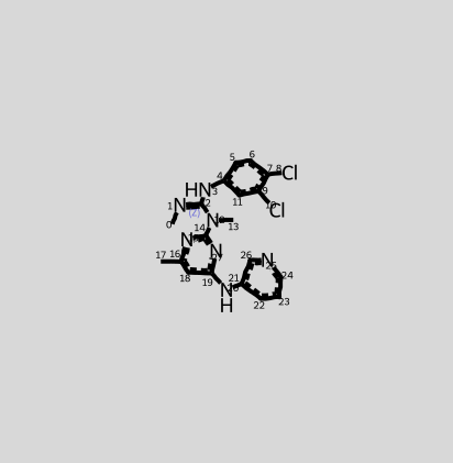 C/N=C(/Nc1ccc(Cl)c(Cl)c1)N(C)c1nc(C)cc(Nc2cccnc2)n1